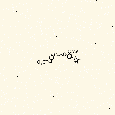 COc1cc(-c2nc(C)c(C)s2)ccc1OCCCOc1ccc2c(ccn2CC(=O)O)c1